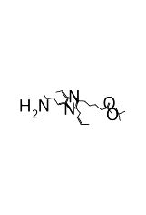 C/C=C\Cc1nc(=C/CC(C)N)/c(=C\C)nc1CCCCC(=O)OC(C)(C)C